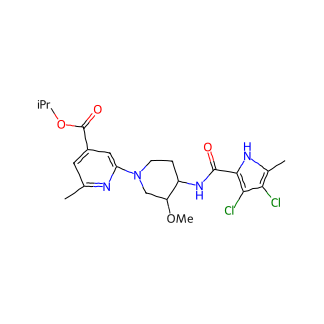 COC1CN(c2cc(C(=O)OC(C)C)cc(C)n2)CCC1NC(=O)c1[nH]c(C)c(Cl)c1Cl